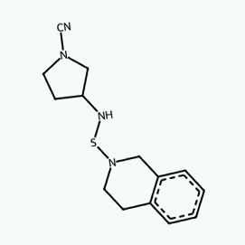 N#CN1CCC(NSN2CCc3ccccc3C2)C1